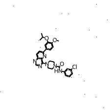 COc1ccc(-c2ccc3ncnc(N4CCN(C(=O)Nc5cccc(Cl)c5)CC4)c3n2)cc1OC(C)C